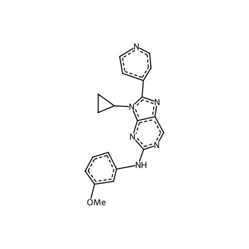 COc1cccc(Nc2ncc3nc(-c4ccncc4)n(C4CC4)c3n2)c1